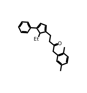 CCC1C(CCC(=O)Cc2cc(C)ccc2C)=CC=C1c1ccccc1